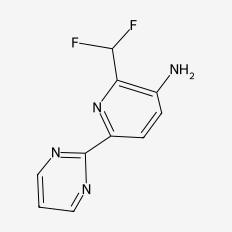 Nc1ccc(-c2ncccn2)nc1C(F)F